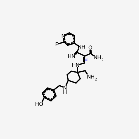 N=C(Nc1ccnc(F)c1)/C(=C\NC1(CN)CCC(NCc2ccc(O)cc2)CC1)C(N)=O